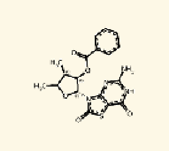 CC1O[C@@H](n2c(=O)sc3c(=O)[nH]c(N)nc32)[C@H](OC(=O)c2ccccc2)[C@@H]1C